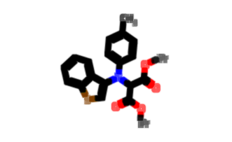 Cc1ccc(N(c2csc3ccccc23)C(C(=O)OC(C)C)C(=O)OC(C)C)cc1